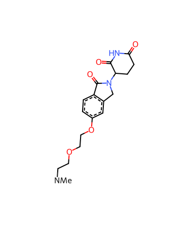 CNCCOCCOc1ccc2c(c1)CN(C1CCC(=O)NC1=O)C2=O